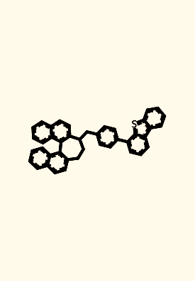 c1ccc2c3c(ccc2c1)CCC(Cc1ccc(-c2cccc4c2sc2ccccc24)cc1)c1ccc2ccccc2c1-3